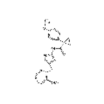 COc1ccccc1Cc1cnc(NC(=O)C2(c3ccc(OC(F)(F)F)cc3)CC2)s1